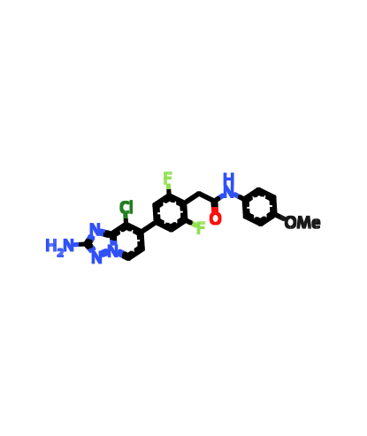 COc1ccc(NC(=O)Cc2c(F)cc(-c3ccn4nc(N)nc4c3Cl)cc2F)cc1